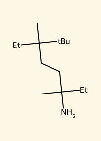 CCC(C)(N)CCC(C)(CC)C(C)(C)C